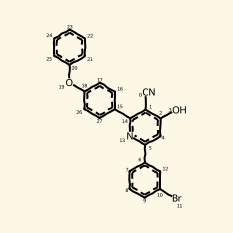 N#Cc1c(O)cc(-c2cccc(Br)c2)nc1-c1ccc(Oc2ccccc2)cc1